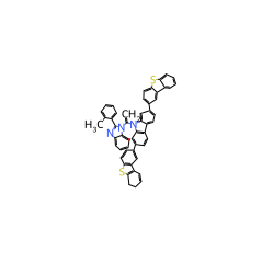 C=C(n1c(-c2ccccc2C)nc2ccccc21)n1c2cc(-c3ccc4sc5c(c4c3)C=CCC5)ccc2c2ccc(-c3ccc4sc5ccccc5c4c3)cc21